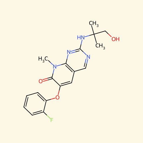 Cn1c(=O)c(Oc2ccccc2F)cc2cnc(NC(C)(C)CO)nc21